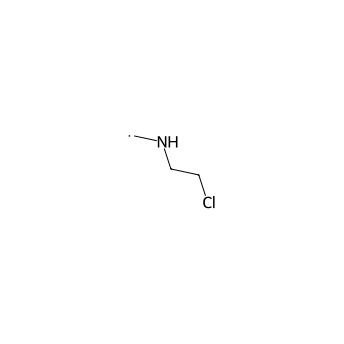 [CH2]NCCCl